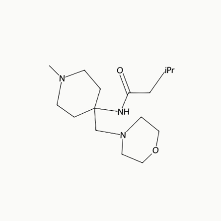 CC(C)CC(=O)NC1(CN2CCOCC2)CCN(C)CC1